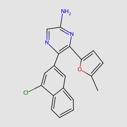 Cc1ccc(-c2nc(N)cnc2-c2cc(Cl)c3ccccc3c2)o1